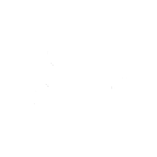 CCN(C1=NC(=O)CS1)c1ccc(C(F)(F)C(O)(F)C(F)(F)F)cc1